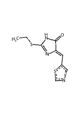 CCSC1=N/C(=C\c2cncs2)C(=O)N1